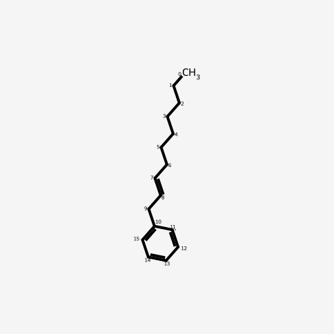 CCCCCCCC=CCc1[c]cccc1